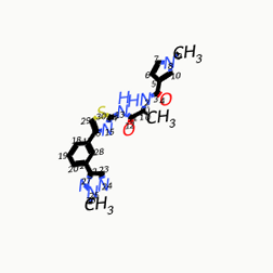 C[C@H](NC(=O)c1ccn(C)c1)C(=O)Nc1nc(-c2cccc(-c3cnn(C)n3)c2)cs1